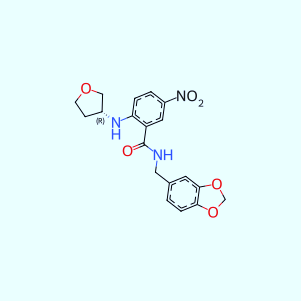 O=C(NCc1ccc2c(c1)OCO2)c1cc([N+](=O)[O-])ccc1N[C@@H]1CCOC1